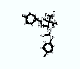 Cc1ccc(OC(=O)N=C2NC(c3ccc(C)cc3)=NC2(C(F)(F)F)C(F)(F)F)cc1